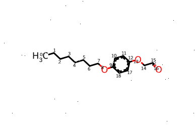 CCCCCCCCOc1ccc(OC[C]=O)cc1